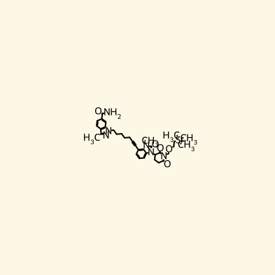 Cc1nn(CCCCCC#Cc2cccc3c2n(C)c(=O)n3C2CCC(=O)N(COCC[Si](C)(C)C)C2=O)c2cc(C(N)=O)ccc12